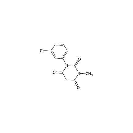 CN1C(=O)CC(=O)N(c2cccc(Cl)c2)C1=O